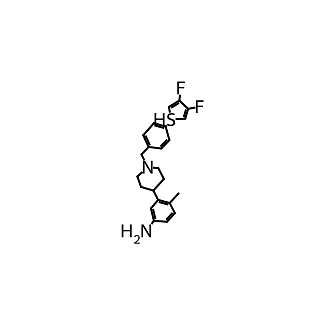 Cc1ccc(N)cc1C1CCN(Cc2ccc([SH]3C=C(F)C(F)=C3)cc2)CC1